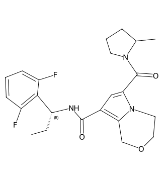 CC[C@@H](NC(=O)c1cc(C(=O)N2CCCC2C)n2c1COCC2)c1c(F)cccc1F